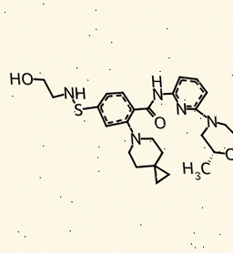 C[C@@H]1CN(c2cccc(NC(=O)c3ccc(SNCCO)cc3N3CCC4(CC3)CC4)n2)CCO1